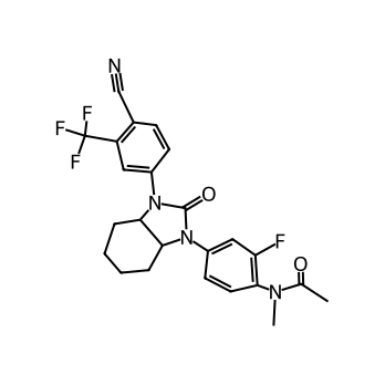 CC(=O)N(C)c1ccc(N2C(=O)N(c3ccc(C#N)c(C(F)(F)F)c3)C3CCCCC32)cc1F